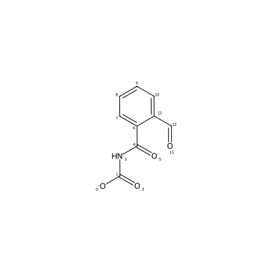 [O]C(=O)NC(=O)c1ccccc1C=O